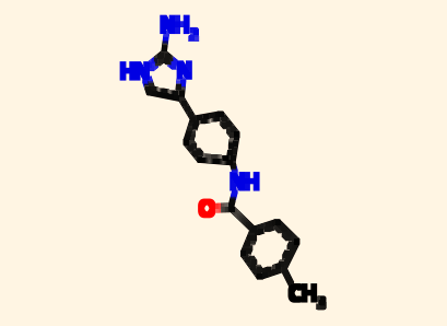 Cc1ccc(C(=O)Nc2ccc(-c3c[nH]c(N)n3)cc2)cc1